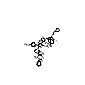 COc1ccc(-c2c(N3CCCc4c3nnc(Nc3nc5ccccc5s3)c4C)nc(C(=O)O)c(-c3cnn(CC45CC6(C)CC(C)(C4)CC(OCCN4CCCC4)(C6)C5)c3C)c2C)cc1